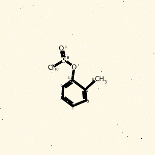 Cc1ccccc1OS(=O)Cl